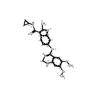 COc1cc2c(cc1OC)C(Oc1ccc3c(C(=O)NC4CC4)c(C)oc3c1)=NCN2